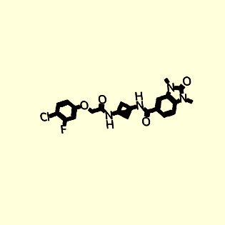 Cn1c(=O)n(C)c2cc(C(=O)NC34CC(NC(=O)COc5ccc(Cl)c(F)c5)(C3)C4)ccc21